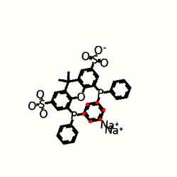 CC1(C)c2cc(S(=O)(=O)[O-])cc(P(c3ccccc3)c3ccccc3)c2Oc2c(P(c3ccccc3)c3ccccc3)cc(S(=O)(=O)[O-])cc21.[Na+].[Na+]